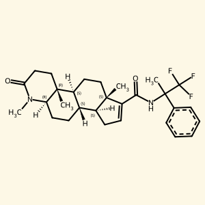 CN1C(=O)CC[C@]2(C)[C@H]3CC[C@]4(C)C(C(=O)NC(C)(c5ccccc5)C(F)(F)F)=CC[C@H]4[C@@H]3CC[C@@H]12